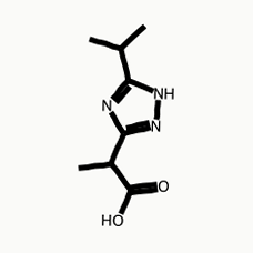 CC(C)c1nc(C(C)C(=O)O)n[nH]1